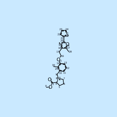 COC(=O)C1CCCN1Cc1cccc(OCCc2nc(-c3cccs3)oc2C)c1C